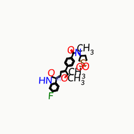 CN(C(=O)c1ccc(C2=C/C(=C3\C(=O)Nc4cc(F)ccc43)OC2(C)C)cc1)C1CCS(=O)(=O)C1